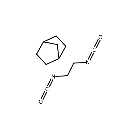 C1CC2CCC1C2.O=C=NCCN=C=O